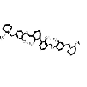 Cc1c(COc2ccc(CN3CCCC[C@H]3C)cc2C(F)(F)F)cccc1-c1cccc(COc2ccc(CN3CCCC[C@H]3C)cc2C(F)(F)F)c1C